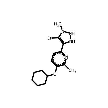 CCC1=C(c2ccc(OC3CCCCC3)c(C)n2)NNN1C